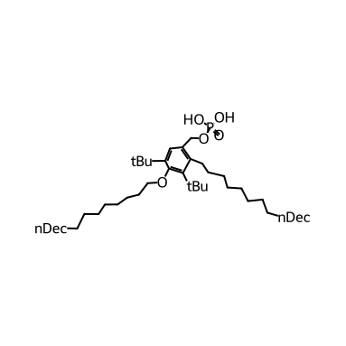 CCCCCCCCCCCCCCCCCCOc1c(C(C)(C)C)cc(COP(=O)(O)O)c(CCCCCCCCCCCCCCCCCC)c1C(C)(C)C